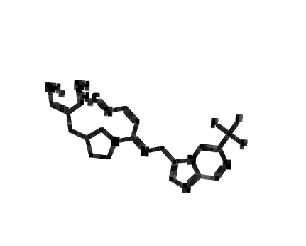 C=N/C=C\C(=N/Cc1cnc2cnc(C(F)(F)F)cn12)N1CCC(C/C(C=N)=C/N)C1